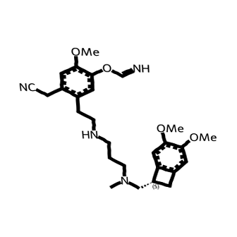 COc1cc2c(cc1OC)[C@@H](CN(C)CCCNCCc1cc(OC=N)c(OC)cc1CC#N)C2